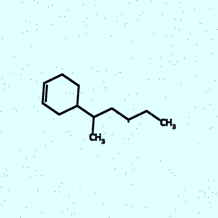 CC[CH]CC(C)C1CC=CCC1